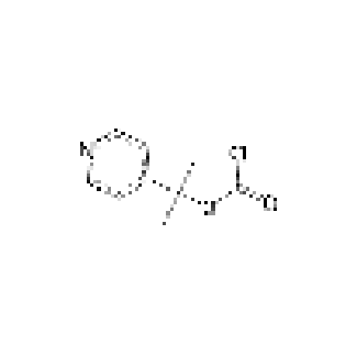 CC(C)(OC(=O)Cl)c1ccncc1